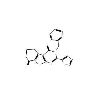 O=C1CCCc2c1sc1nc(-c3cccs3)n(Cc3ccccc3)c(=O)c21